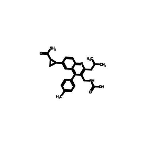 Cc1ccc(-c2c(CNC(=O)O)c(CC(C)C)nc3ccc(C4CC4C(N)=O)cc23)cc1